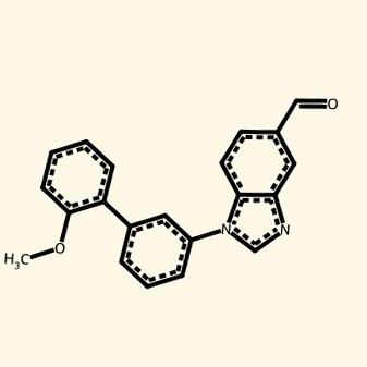 COc1ccccc1-c1cccc(-n2cnc3cc(C=O)ccc32)c1